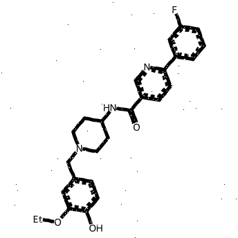 CCOc1cc(CN2CCC(NC(=O)c3ccc(-c4cccc(F)c4)nc3)CC2)ccc1O